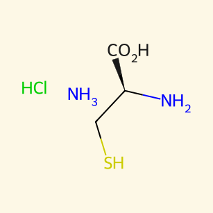 Cl.N.N[C@@H](CS)C(=O)O